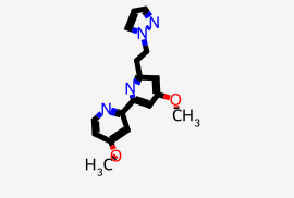 COc1ccnc(-c2cc(OC)cc(CCn3cccn3)n2)c1